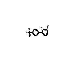 Fc1cccc(-c2ccc(C(F)(F)F)cc2)c1F